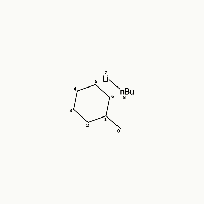 CC1CCCCC1.[Li][CH2]CCC